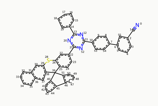 N#Cc1cccc(-c2ccc(-c3nc(-c4ccccc4)nc(-c4ccc5c(c4)Sc4cc6ccccc6cc4C54c5ccccc5-c5ccccc54)n3)cc2)c1